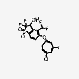 O=S1(=O)c2ccc(OC3=CC(F)=CC(Cl)=CC3)c(C(F)F)c2C(O)C1(F)F